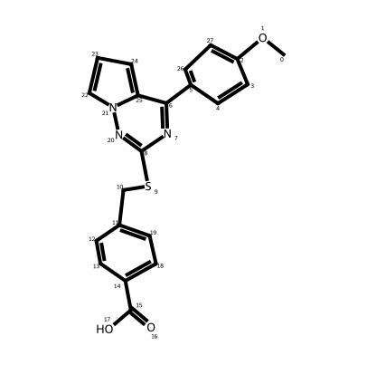 COc1ccc(-c2nc(SCc3ccc(C(=O)O)cc3)nn3cccc23)cc1